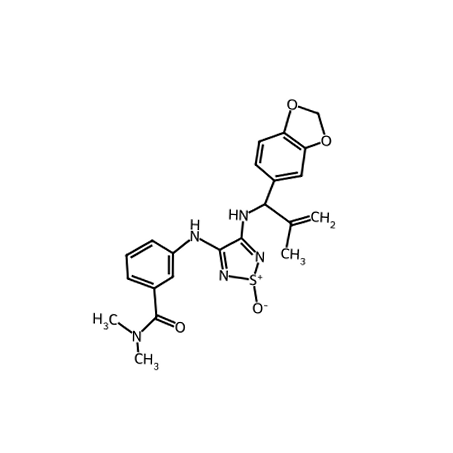 C=C(C)C(Nc1n[s+]([O-])nc1Nc1cccc(C(=O)N(C)C)c1)c1ccc2c(c1)OCO2